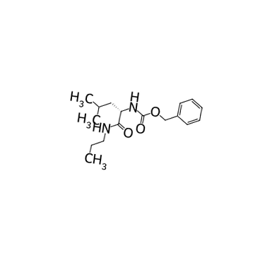 CCCNC(=O)[C@H](CC(C)C)NC(=O)OCc1ccccc1